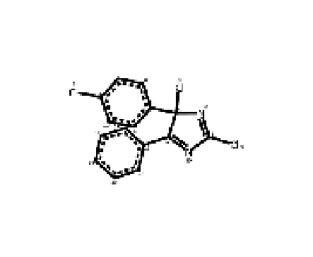 ClC1=NC(Cl)(c2ccc(Cl)cc2)C(c2ccccc2)=N1